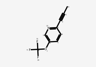 CC#Cc1ccc(OC(F)(F)F)cn1